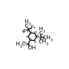 C[C@@H](O)C1CC(C(C)(F)F)C[C@H](C(C)(C)C)C1